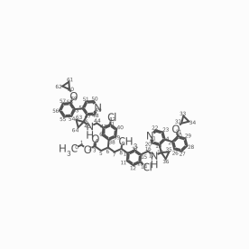 CCOC(=O)CC(CC(C)c1ccc(Cl)c(CNC2(c3cnccc3-c3ccccc3OC3CC3)CC2)c1)c1ccc(Cl)c(CNC2(c3cnccc3-c3ccccc3OC3CC3)CC2)c1